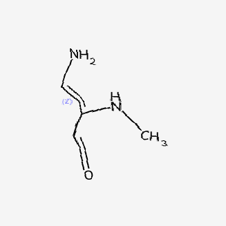 CN/C(C=O)=C\N